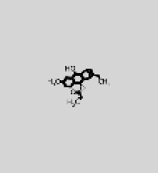 C=CC(=O)Oc1c2c(c(O)c3cc(C)ccc13)C1C=C(CC)C2C1